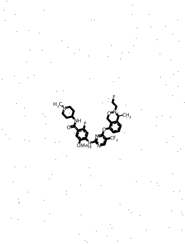 COc1cc(C(=O)NC2CCN(C)CC2)c(F)cc1Nc1ncc(C(F)(F)F)c(Oc2cccc3c2CON(CCF)[C@H]3C)n1